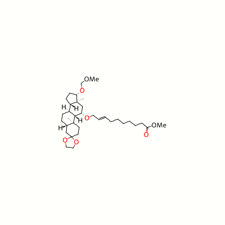 COCO[C@H]1CC[C@H]2[C@@H]3CC[C@H]4CC5(CC[C@]4(C)[C@H]3[C@@H](OC/C=C/CCCCCCC(=O)OC)C[C@]12C)OCCO5